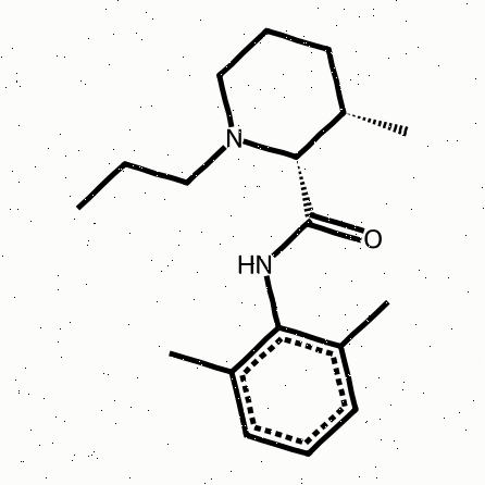 CCCN1CCC[C@H](C)[C@@H]1C(=O)Nc1c(C)cccc1C